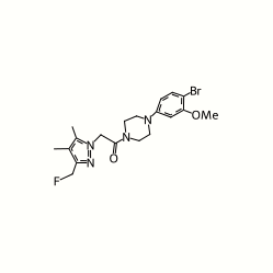 COc1cc(N2CCN(C(=O)Cn3nc(CF)c(C)c3C)CC2)ccc1Br